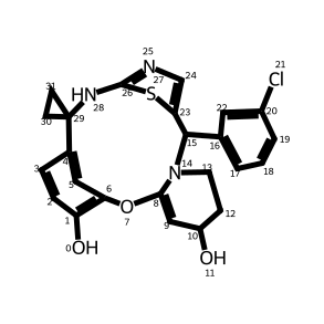 Oc1ccc2cc1OC1=CC(O)CCN1C(c1cccc(Cl)c1)c1cnc(s1)NC21CC1